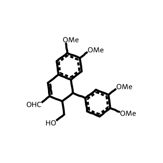 COc1ccc(C2c3cc(OC)c(OC)cc3C=C(C=O)C2CO)cc1OC